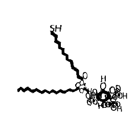 CCCCCCCCCCCCCCCC(=O)O[C@H](COC(=O)CCCCCCCCCCCCCS)COP(=O)(O)OC1C(O)[C@@H](O)C(OP(=O)(O)O)[C@@H](OP(=O)(O)O)[C@H]1O